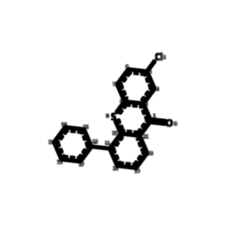 O=c1c2cc(Cl)ccc2sc2c(-c3ccccc3)cccc12